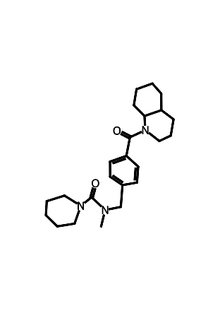 CN(Cc1ccc(C(=O)N2CCCC3CCCCC32)cc1)C(=O)N1CCCCC1